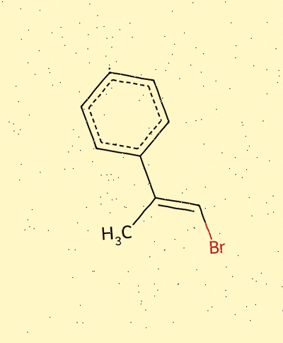 CC(=CBr)c1cc[c]cc1